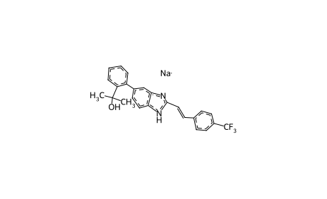 CC(C)(O)c1ccccc1-c1ccc2[nH]c(C=Cc3ccc(C(F)(F)F)cc3)nc2c1.[Na]